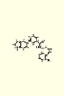 O=C(NC(CO)c1cccc(F)c1F)c1cccc(-c2ccc3[nH]ncc3c2)c1